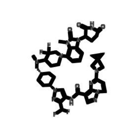 CN(C[C@H]1CC[C@H](n2cc(NC(=O)c3cnn4ccc(N5CC6(CC6)C5)nc34)c(C(F)F)n2)CC1)C1CCN(c2cccc3c2n(C)c(=O)n3C2CCC(=O)NC2=O)CC1(F)F